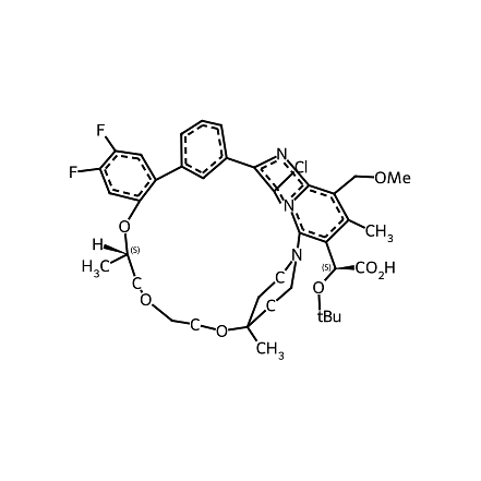 COCc1c(C)c([C@H](OC(C)(C)C)C(=O)O)c2n3c(Cl)c(nc13)-c1cccc(c1)-c1cc(F)c(F)cc1O[C@@H](C)COCCOC1(C)CCN2CC1